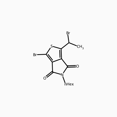 CCCCCCN1C(=O)c2c(Br)sc(C(C)Br)c2C1=O